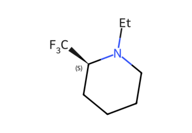 CCN1CCCC[C@H]1C(F)(F)F